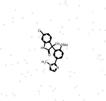 COc1ccc(-c2nccn2C)cc1C1(C)C(=O)Nc2cc(Cl)ccc21